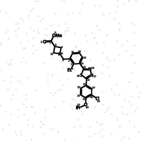 CCc1c(CN2CC(C(=O)OC)C2)cccc1-c1nnc(-c2ccc(OC(C)C)c(Cl)c2)s1